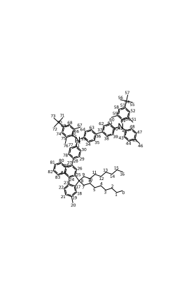 CCCCCCCCC1(CCCCCCCC)c2cc(C)ccc2-c2c1cc(-c1ccc(N(c3ccc(-c4ccc(N(c5ccc(C)cc5)c5c(C)cc(C(C)(C)C)cc5C)cc4)cc3)c3c(C)cc(C(C)(C)C)cc3C)cc1)c1ccccc21